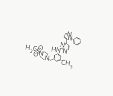 Cc1cc(CN2CCN(S(C)(=O)=O)CC2)cc(Nc2nccc(-c3ccnn3-c3ccccc3)n2)c1